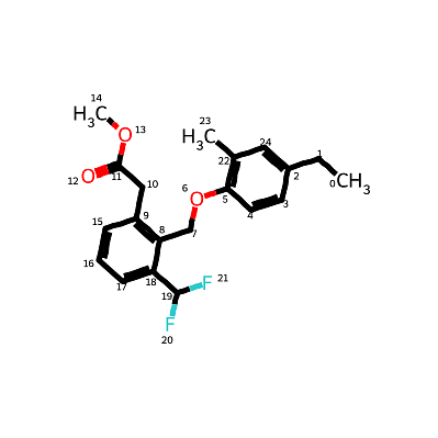 CCc1ccc(OCc2c(CC(=O)OC)cccc2C(F)F)c(C)c1